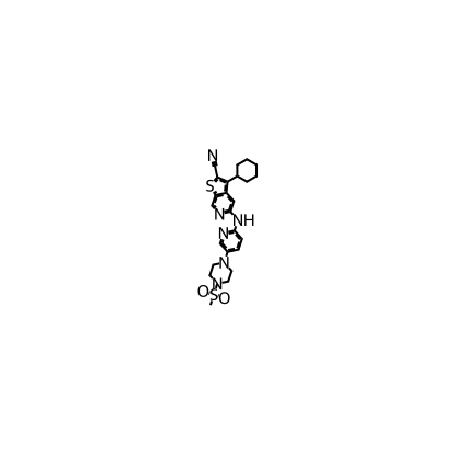 CS(=O)(=O)N1CCN(c2ccc(Nc3cc4c(C5CCCCC5)c(C#N)sc4cn3)nc2)CC1